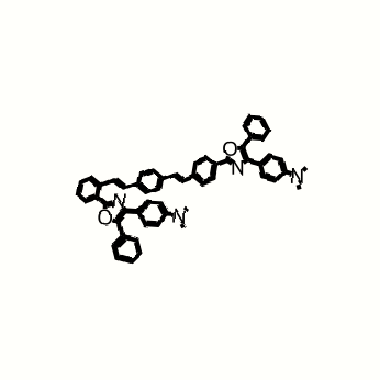 CN(C)c1ccc(-c2nc(-c3ccc(C=Cc4ccc(C=Cc5ccccc5-c5nc(-c6ccc(N(C)C)cc6)c(-c6ccccc6)o5)cc4)cc3)oc2-c2ccccc2)cc1